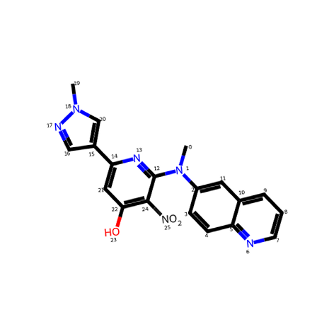 CN(c1ccc2ncccc2c1)c1nc(-c2cnn(C)c2)cc(O)c1[N+](=O)[O-]